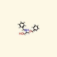 OCC(COCc1ccccc1)NCc1ccccc1